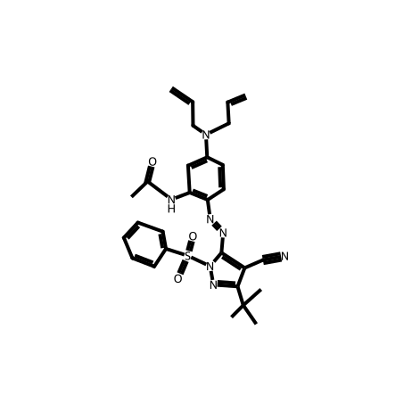 C=CCN(CC=C)c1ccc(/N=N/c2c(C#N)c(C(C)(C)C)nn2S(=O)(=O)c2ccccc2)c(NC(C)=O)c1